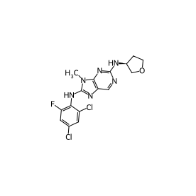 Cn1c(Nc2c(F)cc(Cl)cc2Cl)nc2cnc(N[C@H]3CCOC3)nc21